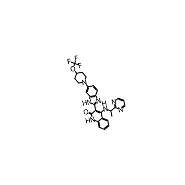 CC(Nc1c(-c2nc3ccc(N4CCC(OC(F)(F)F)CC4)cc3[nH]2)c(=O)[nH]c2ccccc12)c1ncccn1